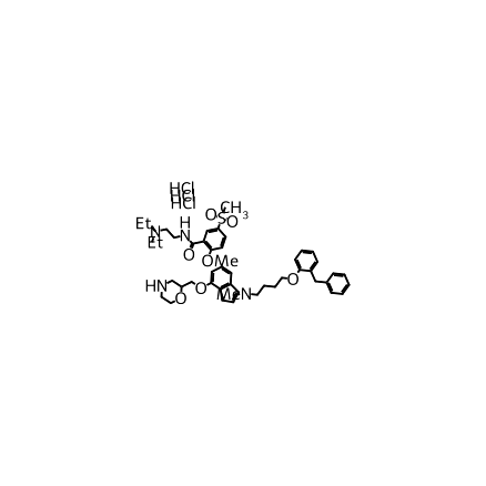 C1=Cc2cccc(OCC3CNCCO3)c2C1.CCN(CC)CCNC(=O)c1cc(S(C)(=O)=O)ccc1OC.CNCCCCOc1ccccc1Cc1ccccc1.Cl.Cl.Cl